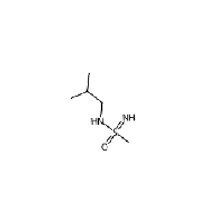 CC(C)CNS(C)(=N)=O